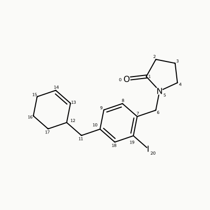 O=C1CCCN1Cc1ccc(CC2C=CCCC2)cc1I